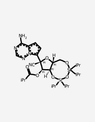 CC(C)C(=O)O[C@@H]1[C@@H]2O[Si](C(C)C)(C(C)C)O[Si](C(C)C)(C(C)C)OC[C@H]2O[C@@]1(C#N)c1ccc2c(N)ncnn12